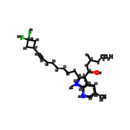 CC(CC(=O)O)CC(=O)c1c(CCCCCCC#CC2CC(F)(F)C2)n(C)c2ncc(C#N)cc12